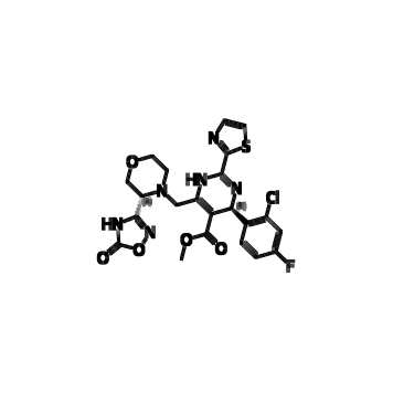 COC(=O)C1=C(CN2CCOC[C@H]2c2noc(=O)[nH]2)NC(c2nccs2)=N[C@H]1c1ccc(F)cc1Cl